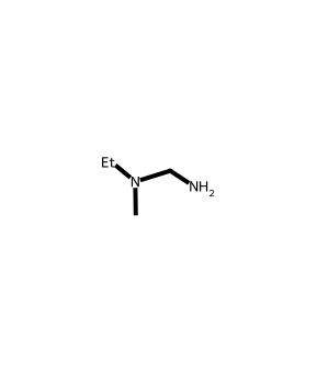 CCN(C)CN